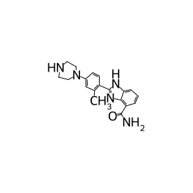 Cc1cc(N2CCNCC2)ccc1-c1nc2c(C(N)=O)cccc2[nH]1